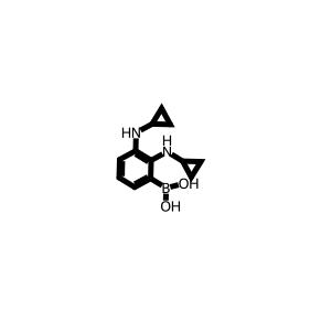 OB(O)c1cccc(NC2CC2)c1NC1CC1